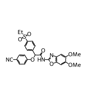 CCS(=O)(=O)c1ccc(C(Oc2ccc(C#N)cc2)C(=O)Nc2nc3cc(OC)c(OC)cc3o2)cc1